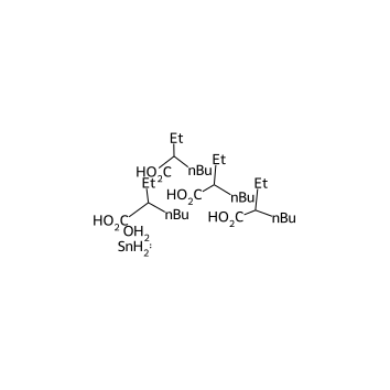 CCCCC(CC)C(=O)O.CCCCC(CC)C(=O)O.CCCCC(CC)C(=O)O.CCCCC(CC)C(=O)O.O.[SnH2]